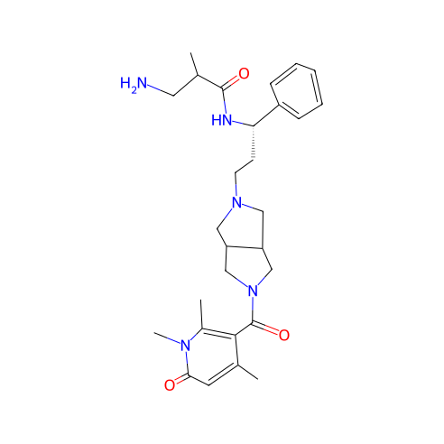 Cc1cc(=O)n(C)c(C)c1C(=O)N1CC2CN(CC[C@H](NC(=O)C(C)CN)c3ccccc3)CC2C1